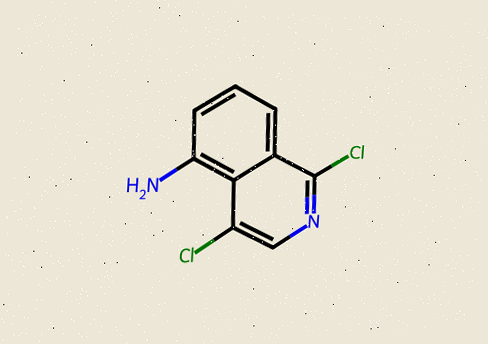 Nc1cccc2c(Cl)ncc(Cl)c12